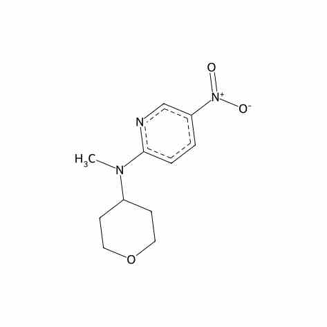 CN(c1ccc([N+](=O)[O-])cn1)C1CCOCC1